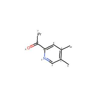 Cc1cnc(C(=O)C(C)C)cc1C